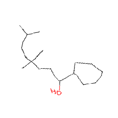 CC(C)CC(C)(C)CCC(O)C1CCCCC1